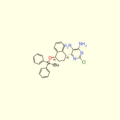 CC(C)(C)[Si](O[C@@H]1CC[C@@H](c2nc(Cl)nc(N)c2N)c2ccccc21)(c1ccccc1)c1ccccc1